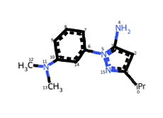 CC(C)c1cc(N)n(-c2cccc(N(C)C)c2)n1